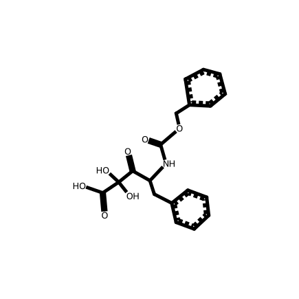 O=C(NC(Cc1ccccc1)C(=O)C(O)(O)C(=O)O)OCc1ccccc1